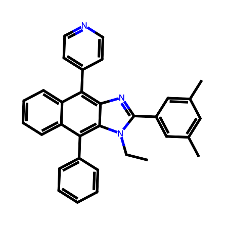 CCn1c(-c2cc(C)cc(C)c2)nc2c(-c3ccncc3)c3ccccc3c(-c3ccccc3)c21